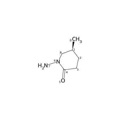 C[C@H]1CCC(=O)N(N)C1